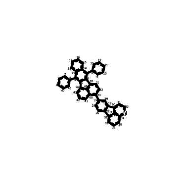 c1ccc(-c2c3c(c(-c4ccccc4)c4ccccc24)-c2ccc(-c4ccc5c(c4)-c4ccnc6cccc-5c46)c4cccc-3c24)cc1